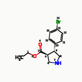 CCOC(=O)[C@@H]1CNC[C@H]1c1ccc(Br)cc1